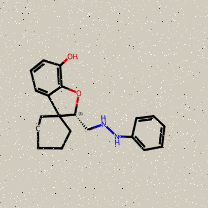 Oc1cccc2c1O[C@H](CNNc1ccccc1)C21CCCCC1